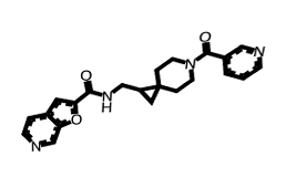 O=C(NCC1CC12CCN(C(=O)c1cccnc1)CC2)c1cc2ccncc2o1